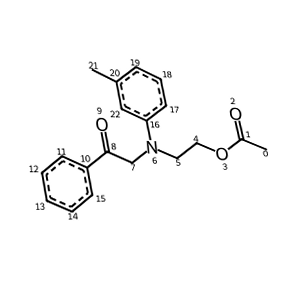 CC(=O)OCCN(CC(=O)c1ccccc1)c1cccc(C)c1